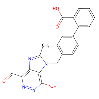 Cc1nc2c(C=O)nnc(O)c2n1Cc1ccc(-c2ccccc2C(=O)O)cc1